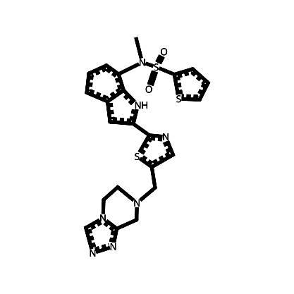 CN(c1cccc2cc(-c3ncc(CN4CCn5cnnc5C4)s3)[nH]c12)S(=O)(=O)c1cccs1